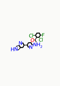 CC(Oc1cc(-c2cnc3c(c2)CNC3)cnc1N)c1c(Cl)ccc(F)c1Cl